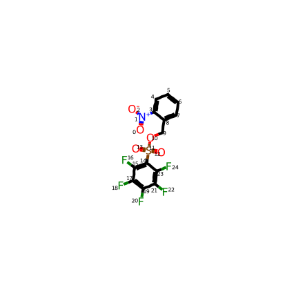 O=[N+]([O-])c1ccccc1COS(=O)(=O)c1c(F)c(F)c(F)c(F)c1F